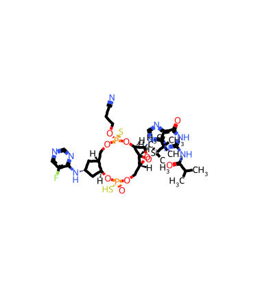 CC(C)C(=O)Nc1nc2c(ncn2[C@@H]2O[C@@H]3CO[P@](=O)(S)O[C@H]4C[C@H](Nc5ncncc5F)C[C@@H]4CO[P@@](=S)(OCCC#N)O[C@@H]2[C@@H]3O[Si](C)(C)C(C)(C)C)c(=O)[nH]1